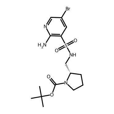 CC(C)(C)OC(=O)N1CCC[C@H]1CNS(=O)(=O)c1cc(Br)cnc1N